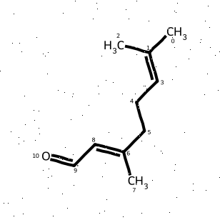 CC(C)=CCCC(C)=C[C]=O